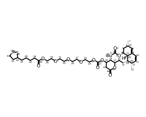 CCC(C)C(=O)O[C@@H]1C[C@H](C)C=C2C=C[C@H](C)[C@H](CCC3CC(OC(=O)OCCOCCOCCOCCOC(=O)CCCCC4CCSS4)CC(=O)O3)[C@@H]21